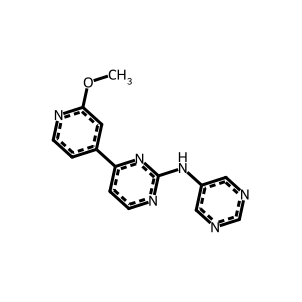 COc1cc(-c2ccnc(Nc3cncnc3)n2)ccn1